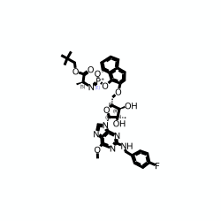 COc1nc(NCc2ccc(F)cc2)nc2c1ncn2[C@@H]1O[C@H](COc2ccc3ccccc3c2O/[P+]([O-])=N/[C@@H](C)C(=O)OCC(C)(C)C)[C@@H](O)[C@@]1(C)O